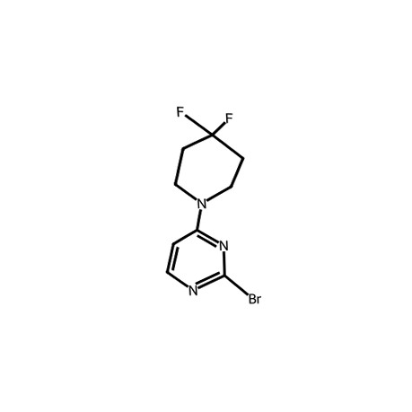 FC1(F)CCN(c2ccnc(Br)n2)CC1